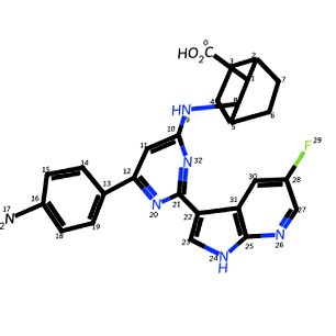 O=C(O)C1C2CCC(CC2)C1Nc1cc(-c2ccc([N+](=O)[O-])cc2)nc(-c2c[nH]c3ncc(F)cc23)n1